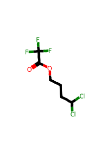 O=C(OCCCC(Cl)Cl)C(F)(F)F